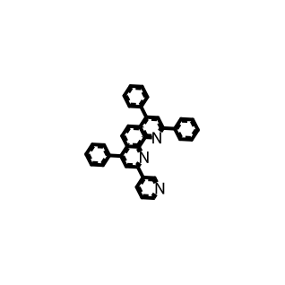 c1ccc(-c2cc(-c3ccccc3)c3ccc4c(-c5ccccc5)cc(-c5cccnc5)nc4c3n2)cc1